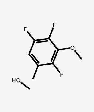 CO.COc1c(F)c(C)cc(F)c1F